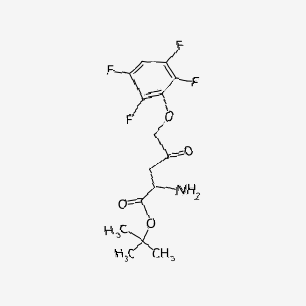 CC(C)(C)OC(=O)C(N)CC(=O)COc1c(F)c(F)cc(F)c1F